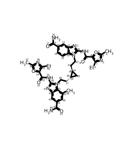 CCc1nc(C)oc1C(=O)Nc1nc2cc(C(N)=O)ccc2n1CC[C@H]1C[C@@H]1CCn1c(NC(=O)c2oc(C)nc2CC)nc2cc(C(N)=O)cc(C)c21